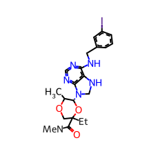 CCC1(C(=O)NC)COC(C)[C@H](N2CNc3c(NCc4cccc(I)c4)ncnc32)O1